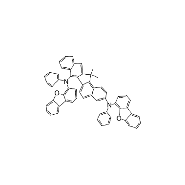 CC1(C)c2cc3ccccc3c(N(c3ccccc3)c3cccc4c3oc3ccccc34)c2-c2ccc3cc(N(c4ccccc4)c4cccc5c4oc4ccccc45)ccc3c21